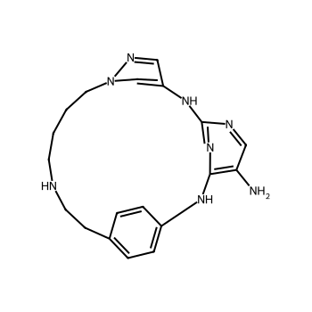 Nc1cnc2nc1Nc1ccc(cc1)CCNCCCCn1cc(cn1)N2